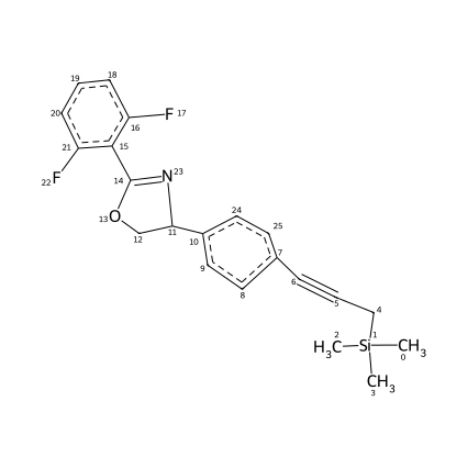 C[Si](C)(C)CC#Cc1ccc(C2COC(c3c(F)cccc3F)=N2)cc1